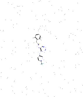 Cc1cccc(C)c1Cc1nc2c(Nc3ccc(C(F)(F)F)nc3)ncnc2s1